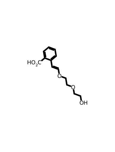 O=C(O)c1ccccc1C=COCCOCCO